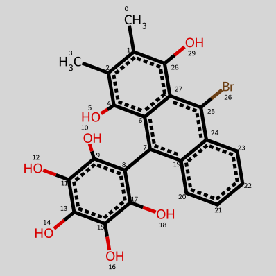 Cc1c(C)c(O)c2c(-c3c(O)c(O)c(O)c(O)c3O)c3ccccc3c(Br)c2c1O